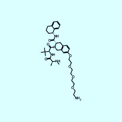 CN[C@@H](C)C(=O)N[C@H](C(=O)N1Cc2cc(OCCOCCOCCOCCN)ccc2C[C@H]1C(=O)N[C@@H]1CCCc2ccccc21)C(C)(C)C